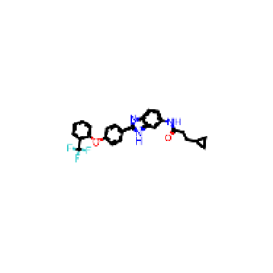 O=C(CCC1CC1)Nc1ccc2nc(-c3ccc(Oc4ccccc4C(F)(F)F)cc3)[nH]c2c1